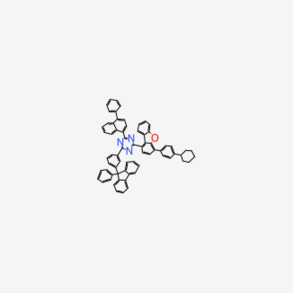 c1ccc(-c2ccc(-c3nc(-c4cccc(C5(c6ccccc6)c6ccccc6-c6ccccc65)c4)nc(-c4ccc(-c5ccc(C6CCCCC6)cc5)c5oc6ccccc6c45)n3)c3ccccc23)cc1